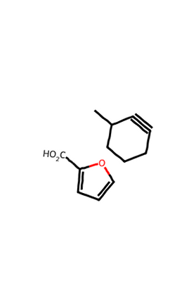 CC1C#CCCC1.O=C(O)c1ccco1